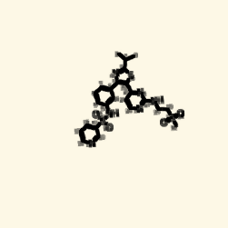 CC(C)c1nc(-c2cccc(NS(=O)(=O)c3cccnc3)c2)c(-c2ccnc(NCCS(C)(=O)=O)n2)s1